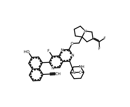 C#Cc1cccc2cc(O)cc(-c3ncc4c(N5CC6CCC5CN6)nc(OCC56CCCN5CC(=C(F)F)C6)nc4c3F)c12